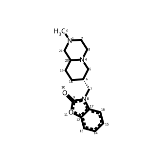 CN1CCN2C[C@H](Cn3c(=O)oc4ccccc43)CCC2C1